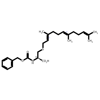 CC(C)=CCC/C(C)=C/CC/C(C)=C/CSC[C@H](NC(=O)OCc1ccccc1)C(=O)O